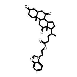 CC(CCC(=O)OCCn1cnc2ccccc21)C1CCC2C3C(=O)CC4CC(=O)CCC4(C)C3CC(=O)C12C